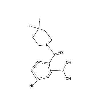 N#Cc1ccc(C(=O)N2CCC(F)(F)CC2)c(B(O)O)c1